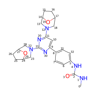 CNC(=O)Nc1ccc(-c2cc(N3CC4CCC(C3)O4)nc(N3CC4CCC(C3)O4)n2)cc1